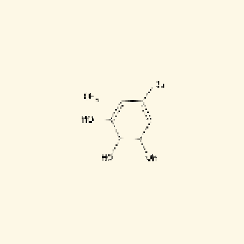 C.CCC(C)c1cc(O)c(O)c(O)c1